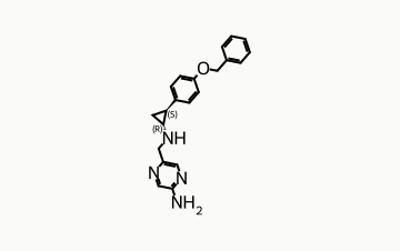 Nc1cnc(CN[C@@H]2C[C@H]2c2ccc(OCc3ccccc3)cc2)cn1